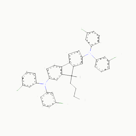 CCCCC1(C)c2cc(N(c3cccc(Cl)c3)c3cccc(Cl)c3)ccc2-c2ccc(N(c3cccc(Cl)c3)c3cccc(Cl)c3)cc21